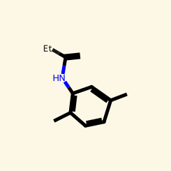 C=C(CC)Nc1cc(C)ccc1C